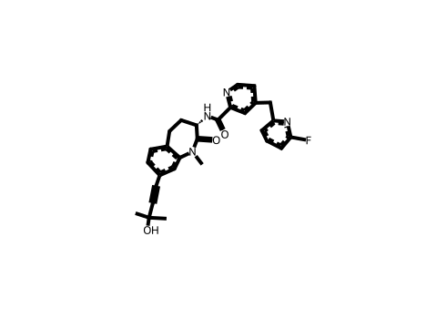 CN1C(=O)[C@@H](NC(=O)c2cc(Cc3cccc(F)n3)ccn2)CCc2ccc(C#CC(C)(C)O)cc21